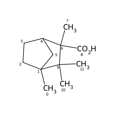 CC12CCC(C1)C(C)(C(=O)O)C2(C)C